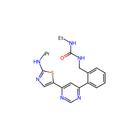 CCNC(=O)NCc1ccccc1-c1cc(-c2cnc(NC(C)C)s2)ncn1